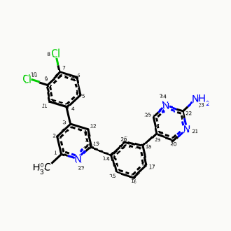 Cc1cc(-c2ccc(Cl)c(Cl)c2)cc(-c2cccc(-c3cnc(N)nc3)c2)n1